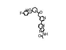 CC(=O)Nc1cn2nc(-c3cncc(CC(=O)N4CCCC(O)(Cc5ccc(F)cc5)C4)c3)ccc2n1